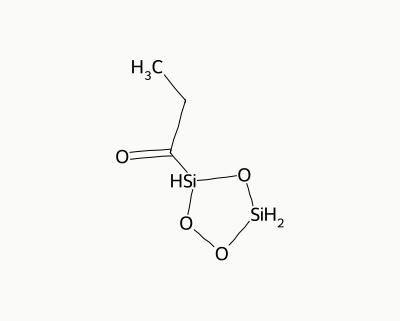 CCC(=O)[SiH]1OO[SiH2]O1